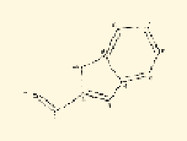 S=CC1=Cc2ccccc2C1